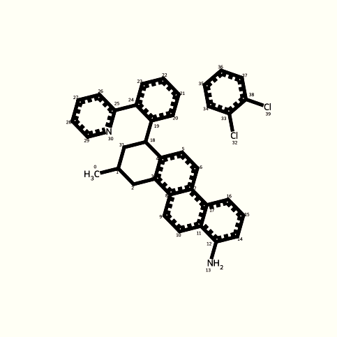 CC1Cc2c(ccc3c2ccc2c(N)cccc23)C(c2ccccc2-c2ccccn2)C1.Clc1ccccc1Cl